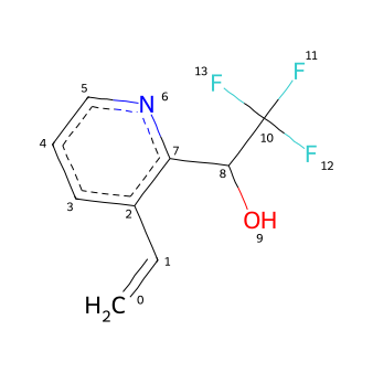 C=Cc1cccnc1C(O)C(F)(F)F